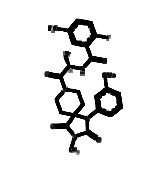 COc1cccc(N2C(=O)N(C)C(=O)C23CCN(C(=O)[C@H](NC(=O)c2cc(C(F)(F)F)ccc2F)C(C)C)CC3)c1